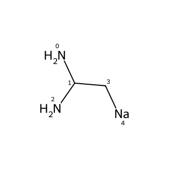 NC(N)[CH2][Na]